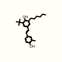 CCCCCCc1cc(C=Cc2ccc(O)c(C)c2)cc(C(C)(C)C)c1O